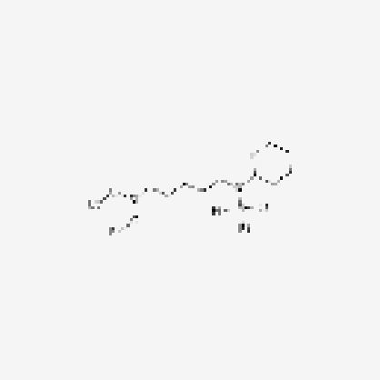 CCO[SiH](CCCCCN(C1CCCCC1)[Si](CC)(CC)CC)OCC